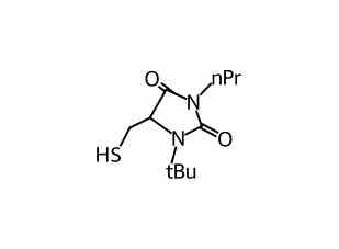 CCCN1C(=O)C(CS)N(C(C)(C)C)C1=O